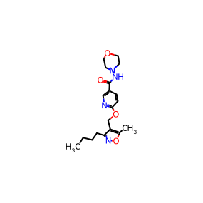 CCCCc1noc(C)c1COc1ccc(C(=O)NN2CCOCC2)cn1